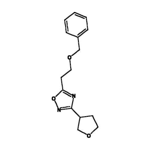 c1ccc(COCCc2nc(C3CCOC3)no2)cc1